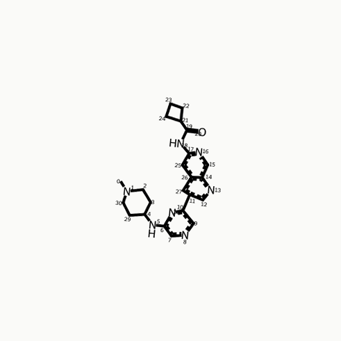 CN1CCC(Nc2cncc(-c3cnc4cnc(NC(=O)C5CCC5)cc4c3)n2)CC1